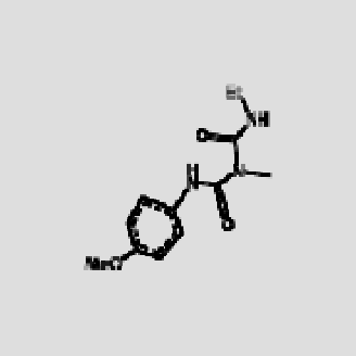 CCNC(=O)N(C)C(=O)Nc1ccc(OC)cc1